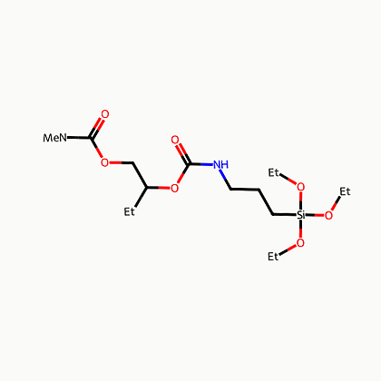 CCO[Si](CCCNC(=O)OC(CC)COC(=O)NC)(OCC)OCC